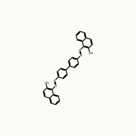 Oc1ccc2ccccc2c1/N=N/c1ccc(-c2ccc(/N=N/c3c(O)ccc4ccccc34)cc2)cc1